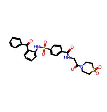 O=C(NCC(=O)N1CCS(=O)(=O)CC1)c1ccc(S(=O)(=O)Nc2ccccc2C(=O)c2ccccc2)cc1